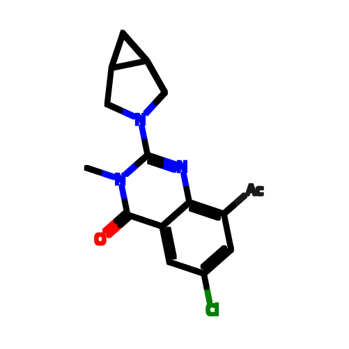 CC(=O)c1cc(Cl)cc2c(=O)n(C)c(N3CC4CC4C3)nc12